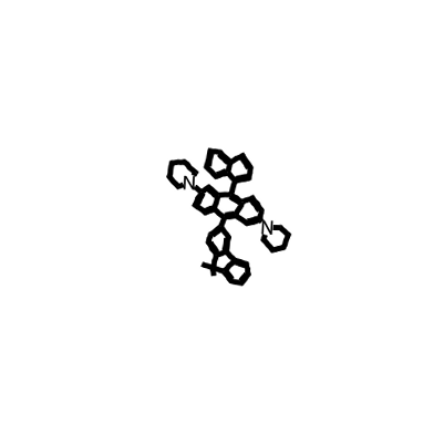 CC1(C)c2ccccc2-c2cc(-c3c4cc(N5CCCCC5)ccc4c(-c4cccc5ccccc45)c4cc(N5CCCCC5)ccc34)ccc21